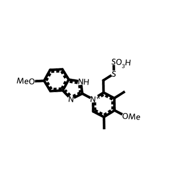 COc1ccc2[nH]c(-[n+]3cc(C)c(OC)c(C)c3CSS(=O)(=O)O)nc2c1